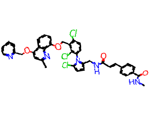 CNC(=O)c1ccc(C=CC(=O)NCc2ccc(Cl)n2-c2ccc(Cl)c(COc3cccc4c(OCc5ccccn5)cc(C)nc34)c2Cl)cc1